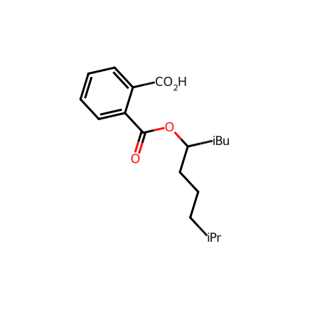 CCC(C)C(CCCC(C)C)OC(=O)c1ccccc1C(=O)O